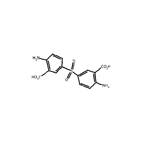 Nc1ccc(S(=O)(=O)c2ccc(N)c(C(=O)O)c2)cc1C(=O)O